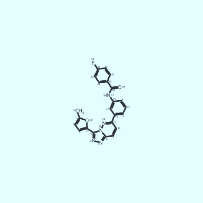 Cc1ccc(-c2nnc3ccc(-c4cccc(NC(=O)c5ccc(F)cc5)c4)nn23)o1